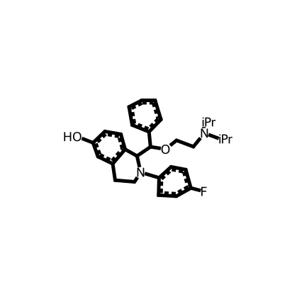 CC(C)N(CCOC(c1ccccc1)C1c2ccc(O)cc2CCN1c1ccc(F)cc1)C(C)C